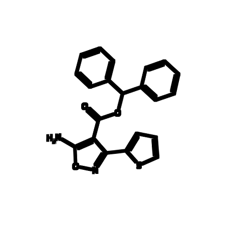 Nc1onc(-c2cccs2)c1C(=O)OC(c1ccccc1)c1ccccc1